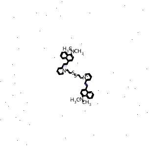 CN(C)c1ccc(/C=C/c2cccc[n+]2CCSSCC[n+]2ccccc2/C=C/c2ccc(N(C)C)c3ccccc23)c2ccccc12